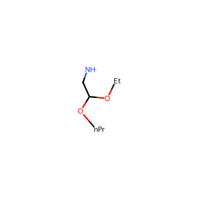 CCCOC(C[NH])OCC